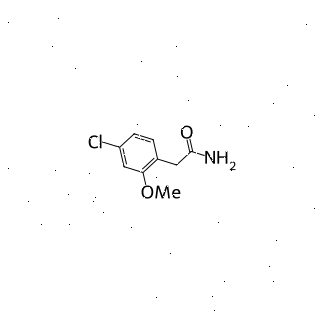 COc1cc(Cl)ccc1CC(N)=O